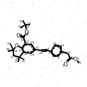 COC(=O)Cc1ccc(C#Cc2cc(C(=O)OC(C)(C)C)c3c(c2)C(C)(C)CC(C)(C)O3)cc1